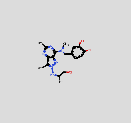 CC(C)c1nc(N(C)Cc2ccc(O)c(O)c2)c2nn(NC(CO)C(C)C)c(C(C)C)c2n1